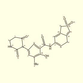 CC(C)(C)c1cc(N2C(=O)CCNC2=O)cc(C(=O)NC2=CCC3=CS(=O)(=O)CC3=C2)c1O